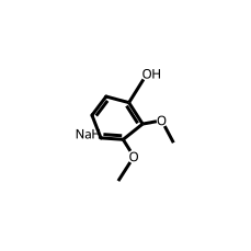 COc1cccc(O)c1OC.[NaH]